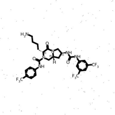 NCCCC[C@@H]1C(=O)N2C[C@@H](NC(=O)Nc3cc(C(F)(F)F)cc(C(F)(F)F)c3)C[C@@H]2CN1C(=O)Nc1ccc(C(F)(F)F)cc1